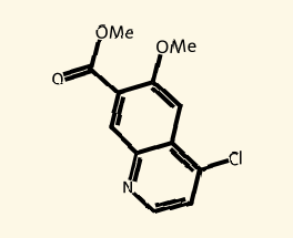 COC(=O)c1cc2nccc(Cl)c2cc1OC